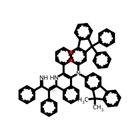 CC1(C)c2ccccc2-c2ccc(N(C3=C(c4ccccc4)N/C(=C(\C(=N)c4ccccc4)c4ccccc4)c4ccccc43)c3ccc4c(c3)C(c3ccccc3)(c3ccccc3)c3ccccc3-4)cc21